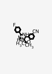 CC1(C)Oc2ccc(C#N)cc2[C@H](N/C(=N\C#N)c2ccc(F)cc2)[C@H]1O